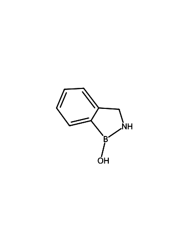 OB1NCc2ccccc21